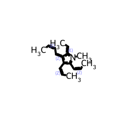 C\C=C/C=c1/c(/C=C\C)c(/C=C\C)n(C)/c1=C/C